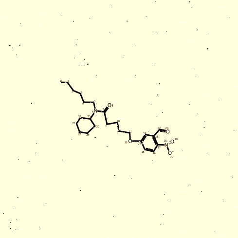 CCCCCCN(C(=O)CCCCOc1ccc([N+](=O)[O-])c(C=O)c1)C1CCCCC1